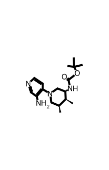 C[C@H]1[C@@H](C)CN(c2ccncc2N)C[C@H]1NC(=O)OC(C)(C)C